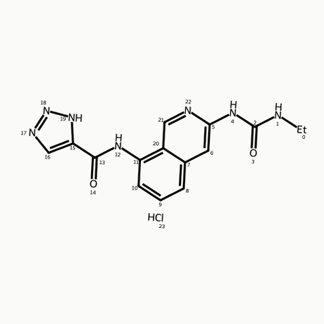 CCNC(=O)Nc1cc2cccc(NC(=O)c3cnn[nH]3)c2cn1.Cl